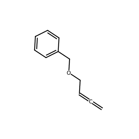 C=C=CCOCc1ccccc1